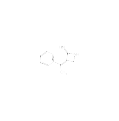 CC(=C1CNC1=N)c1cccnc1